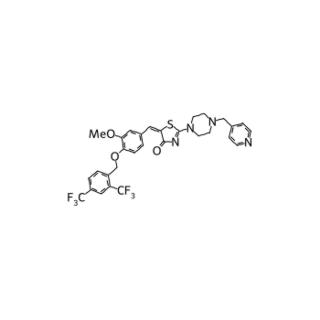 COc1cc(C=C2SC(N3CCN(Cc4ccncc4)CC3)=NC2=O)ccc1OCc1ccc(C(F)(F)F)cc1C(F)(F)F